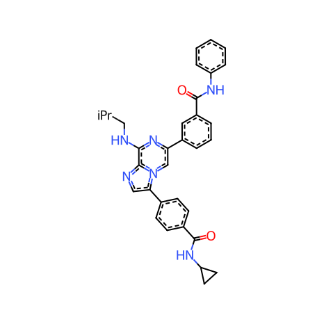 CC(C)CNc1nc(-c2cccc(C(=O)Nc3ccccc3)c2)cn2c(-c3ccc(C(=O)NC4CC4)cc3)cnc12